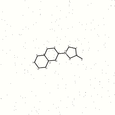 CC1CCN(C2CCC3CCCCC3C2)C1